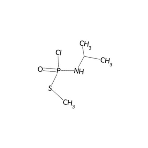 CSP(=O)(Cl)NC(C)C